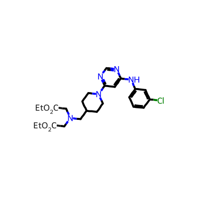 CCOC(=O)CN(CC(=O)OCC)CC1CCN(c2cc(Nc3cccc(Cl)c3)ncn2)CC1